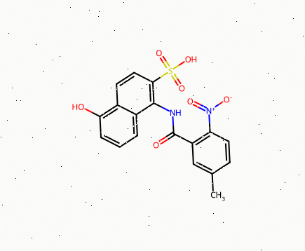 Cc1ccc([N+](=O)[O-])c(C(=O)Nc2c(S(=O)(=O)O)ccc3c(O)cccc23)c1